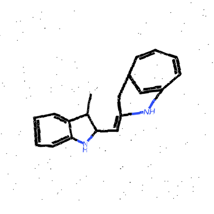 CC1c2ccccc2NC1/C=C1\CC2C=CC=CC(=C2)N1